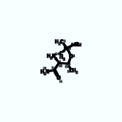 C[C@@H](O[Si](C)(C)C(C)(C)C)[C@H](N)C(N)=O